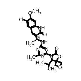 COc1cc2[nH]c(=O)c([C@H](C)Nc3nc(C)nc(N4C(=O)OC5(COC5)C4C(C)C)n3)cc2cc1Cl